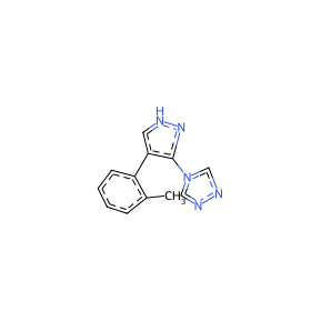 Cc1ccccc1-c1c[nH]nc1-n1cnnc1